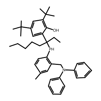 CCCCCC(CC)(Pc1ccc(C)cc1CN(c1ccccc1)c1ccccc1)c1cc(C(C)(C)C)cc(C(C)(C)C)c1O